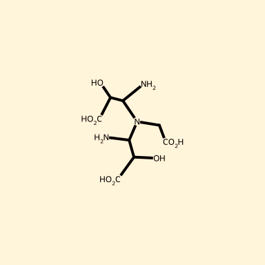 NC(C(O)C(=O)O)N(CC(=O)O)C(N)C(O)C(=O)O